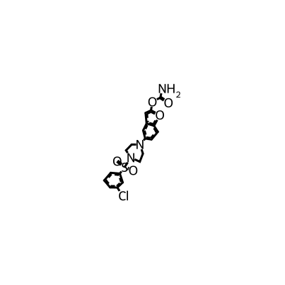 NC(=O)Oc1cc2cc(N3CCN(S(=O)(=O)c4cccc(Cl)c4)CC3)ccc2o1